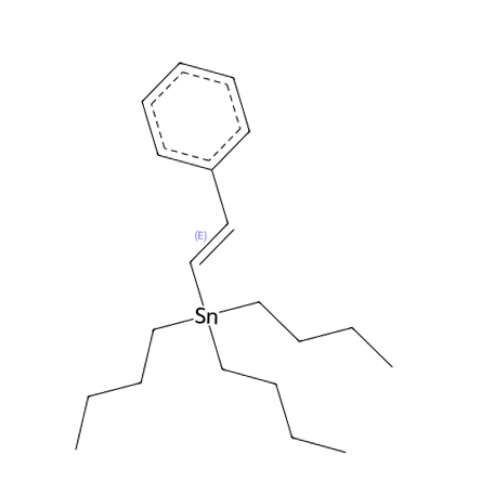 CCC[CH2][Sn](/[CH]=C/c1ccccc1)([CH2]CCC)[CH2]CCC